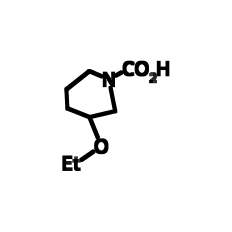 CCOC1CCCN(C(=O)O)C1